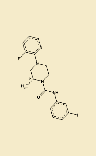 C[C@@H]1CN(c2ncccc2F)CCN1C(=O)Nc1cccc(I)c1